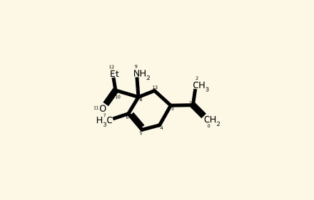 C=C(C)C1CC=C(C)C(N)(C(=O)CC)C1